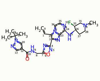 C=Cc1c(-c2noc(CNC(=O)c3cnn(C(C)(C)C)c3)n2)nc2c(N[C@@H]3CCN(C)C[C@@H]3F)nccn12